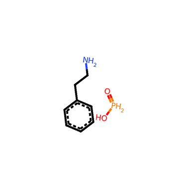 NCCc1ccccc1.O=[PH2]O